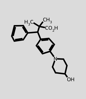 CC(C)(C(=O)O)C(c1ccccc1)c1ccc(N2CCC(O)CC2)cc1